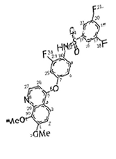 COc1ccc2c(Oc3ccc(NS(=O)(=O)c4cc(F)cc(F)c4)c(F)c3)ccnc2c1OC